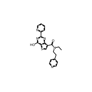 CCN(CCc1ccncc1)C(=O)c1csc2c(O)nc(-c3ccccn3)nc12